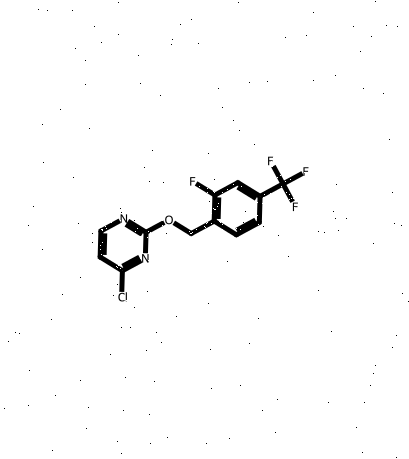 Fc1cc(C(F)(F)F)ccc1COc1nccc(Cl)n1